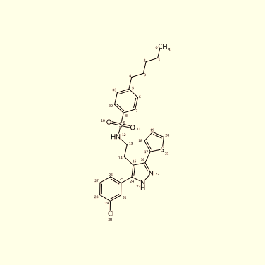 CCCCCc1ccc(S(=O)(=O)NCCc2c(-c3cccs3)n[nH]c2-c2cccc(Cl)c2)cc1